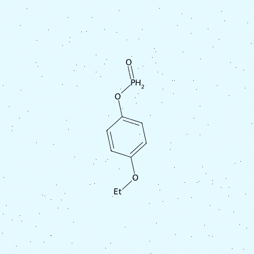 CCOc1ccc(O[PH2]=O)cc1